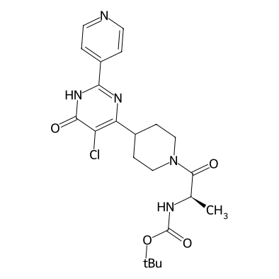 C[C@@H](NC(=O)OC(C)(C)C)C(=O)N1CCC(c2nc(-c3ccncc3)[nH]c(=O)c2Cl)CC1